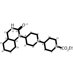 CCOC(=O)N1CCC(N2CCC(N3C(=O)NCC4CCCCC43)CC2)CC1